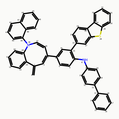 C=C1/C=C(c2ccc(Nc3ccc(-c4ccccc4)cc3)c(-c3ccc4c(c3)sc3ccccc34)c2)\C=C/N(c2cccc3ccccc23)c2ccccc21